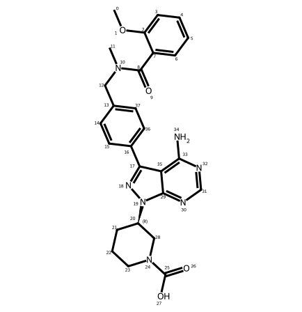 COc1ccccc1C(=O)N(C)Cc1ccc(-c2nn([C@@H]3CCCN(C(=O)O)C3)c3ncnc(N)c23)cc1